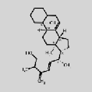 C=C(C=C[C@@H](C)[C@H]1CC[C@H]2C3=CCC4CCCC[C@]4(C)[C@H]3CC[C@]12C)C(C)CO